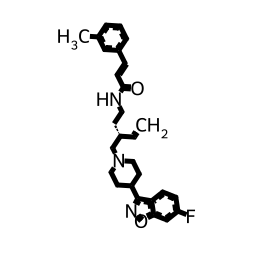 C=C[C@@H](CCNC(=O)/C=C/c1cccc(C)c1)CN1CCC(c2noc3cc(F)ccc23)CC1